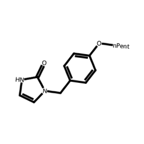 CCCCCOc1ccc(Cn2cc[nH]c2=O)cc1